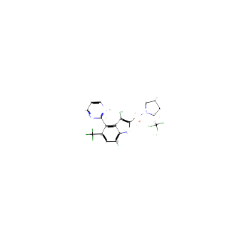 O=S(=O)(c1[nH]c2c(F)cc(C(F)(F)F)c(-c3ncccn3)c2c1Cl)N1CCC[C@H]1C(F)(F)F